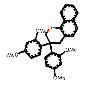 COc1ccc(C2(c3ccc(OC)cc3OC)COc3c(ccc4ccccc34)C2)c(OC)c1